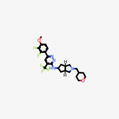 COc1ccc(-c2cc(C(F)(F)F)c(NC3C[C@@H]4CN(CC5CCOCC5)C[C@@H]4C3)nn2)c(F)c1F